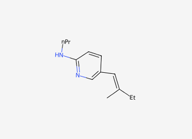 CCCNc1ccc(/C=C(\C)CC)cn1